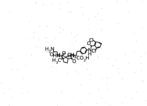 CC1(C(=O)NCC(N)=O)CCC(C(=O)N[C@@H](Cc2ccc(NC(=O)c3c(Cl)cccc3Cl)cc2)C(=O)O)C1(C)C